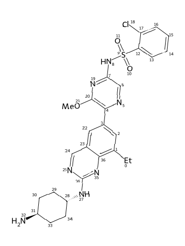 CCc1cc(-c2ncc(NS(=O)(=O)c3ccccc3Cl)nc2OC)cc2cnc(N[C@H]3CC[C@H](N)CC3)nc12